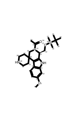 COc1ccc2c3c([nH]c2c1)[C@H](CO[Si](C)(C)C(C)(C)C)N(C(C)=O)CC31CCNCC1